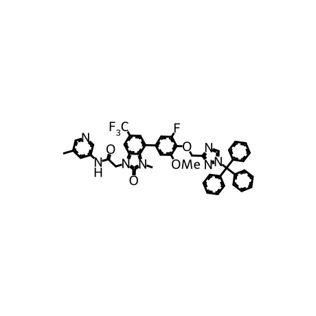 COc1cc(-c2cc(C(F)(F)F)cc3c2n(C)c(=O)n3CC(=O)Nc2cncc(C)c2)cc(F)c1OCc1ncn(C(c2ccccc2)(c2ccccc2)c2ccccc2)n1